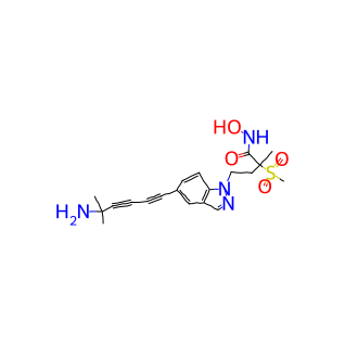 CC(C)(N)C#CC#Cc1ccc2c(cnn2CCC(C)(C(=O)NO)S(C)(=O)=O)c1